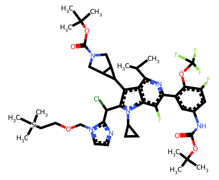 CC(C)c1nc(-c2cc(NC(=O)OC(C)(C)C)cc(F)c2OC(F)(F)F)c(F)c2c1c(C1C3CN(C(=O)OC(C)(C)C)CC31)c(C(Cl)c1nccn1COCC[Si](C)(C)C)n2C1CC1